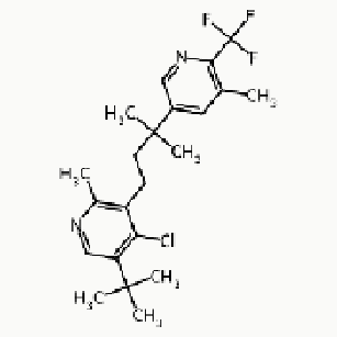 Cc1cc(C(C)(C)CCc2c(C)ncc(C(C)(C)C)c2Cl)cnc1C(F)(F)F